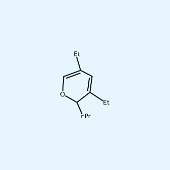 CCCC1OC=C(CC)C=C1CC